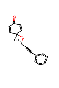 CC1(OCC#Cc2ccccc2)C=CC(=O)C=C1